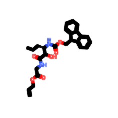 C=CCOC(=O)CNC(=O)C(O)[C@@H](CCC)NC(=O)OCC1c2ccccc2-c2ccccc21